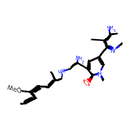 C\C=C/C(=C\C=C(/C)CN/C=C(\N)c1cc(C(=N/C)/C(C)=C(\C)N)cn(C)c1=O)OC